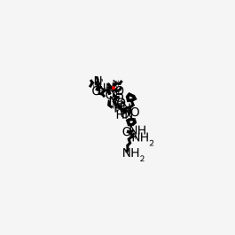 CC[C@H](C)[C@@H]([C@@H](CC(=O)N1CCC[C@H]1[C@H](OC)[C@@H](C)C(=O)NC(Cc1ccccc1)C(=O)Nc1ccc(NC(=O)[C@@H](N)CCCCN)cc1)OC)N(C)C(=O)[C@@H](NC(=O)[C@H](C(C)C)N(C)C)C(C)C